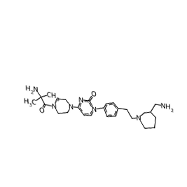 CC(C)(N)C(=O)N1CCN(c2ccn(-c3ccc(CCN4CCCC(CN)C4)cc3)c(=O)n2)CC1